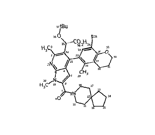 Cc1nc2c(cc(C(=O)N3CCC4(CCCC4)CC3)n2C)c(-c2cc(F)c3c(c2C)CCCO3)c1[C@H](OC(C)(C)C)C(=O)O